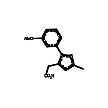 COc1cccc(-n2nc(C)cc2CC(=O)O)c1